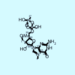 COC[C@H]1[C@@H](O)[C@H](n2c[n+](C)c3c(=O)[nH]c(N)nc32)O[C@@H]1COP(=O)(O)OP(C)(=O)O